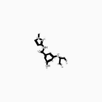 Cn1ccc(NC(=O)c2cc(O)cc(OC(CF)CF)c2)n1